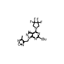 Cc1nonc1Cn1nnc2c(N3CC(F)(F)C(F)(F)C3)nc(C(C)(C)C)nc21